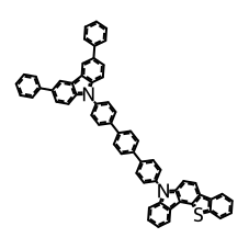 c1ccc(-c2ccc3c(c2)c2cc(-c4ccccc4)ccc2n3-c2ccc(-c3ccc(-c4ccc(-n5c6ccccc6c6c7sc8ccccc8c7ccc65)cc4)cc3)cc2)cc1